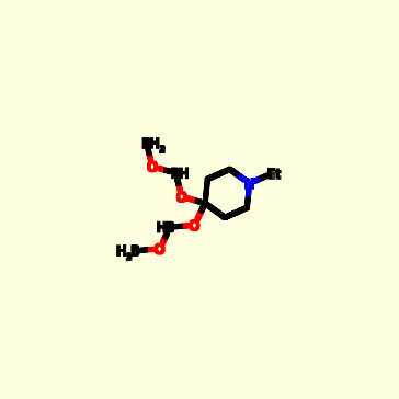 BOBOC1(OBOB)CCN(CC)CC1